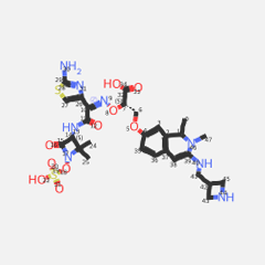 CC1c2cc(OC[C@H](O/N=C(\C(=O)N[C@@H]3C(=O)N(OS(=O)(=O)O)C3(C)C)c3csc(N)n3)C(=O)O)ccc2C=C(NCC2CNC2)N1C